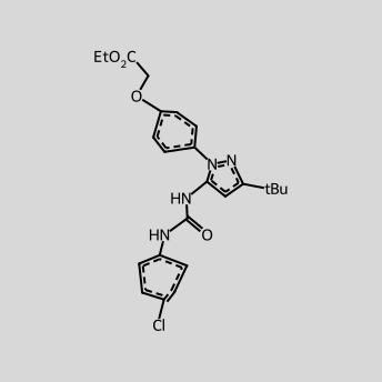 CCOC(=O)COc1ccc(-n2nc(C(C)(C)C)cc2NC(=O)Nc2ccc(Cl)cc2)cc1